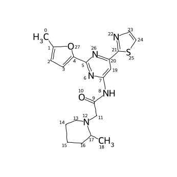 Cc1ccc(-c2nc(NC(=O)CN3CCCCC3C)cc(-c3nccs3)n2)o1